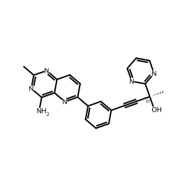 Cc1nc(N)c2nc(-c3cccc(C#C[C@](C)(O)c4ncccn4)c3)ccc2n1